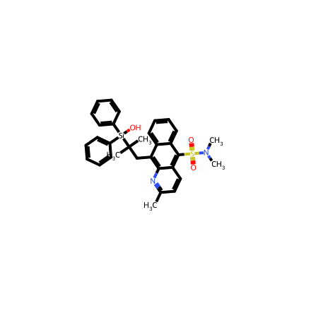 Cc1ccc2c(S(=O)(=O)N(C)C)c3ccccc3c(CC(C)(C)[Si](O)(c3ccccc3)c3ccccc3)c2n1